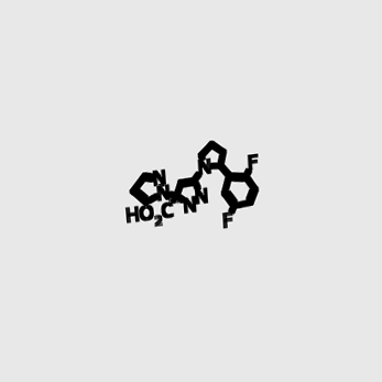 O=C(O)[C@@]1(n2cccn2)C=C(N2CCCC2c2cc(F)ccc2F)N=N1